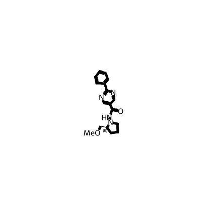 COC[C@H]1CCCN1NC(=O)c1cnc(-c2ccccc2)nc1